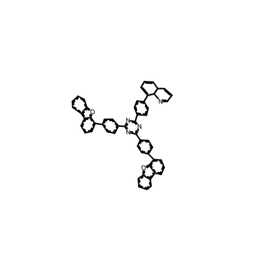 C1=CC2C=CC=C(c3ccc(-c4nc(-c5ccc(-c6cccc7c6oc6ccccc67)cc5)nc(-c5ccc(-c6cccc7c6oc6ccccc67)cc5)n4)cc3)C2N=C1